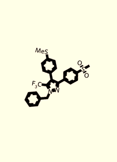 CSc1ccc(-c2c(-c3ccc(S(C)(=O)=O)cc3)nn(Cc3ccccc3)c2C(F)(F)F)cc1